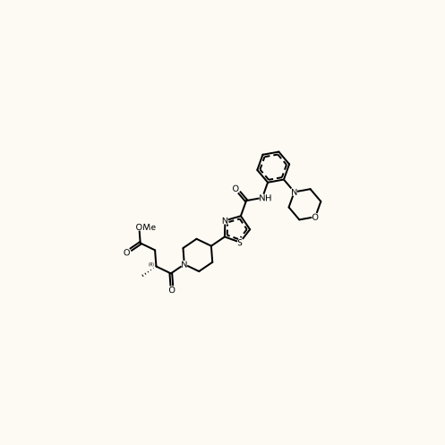 COC(=O)C[C@@H](C)C(=O)N1CCC(c2nc(C(=O)Nc3ccccc3N3CCOCC3)cs2)CC1